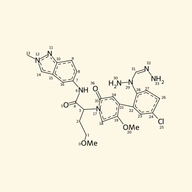 COCCC(C(=O)Nc1ccc2nn(C)cc2c1)n1cc(OC)c(-c2cc(Cl)ccc2N(N)/C=N\N)cc1=O